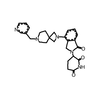 O=C1CCC(N2Cc3c(cccc3N3CC4(CCN(Cc5cccnc5)CC4)C3)C2=O)C(=O)N1